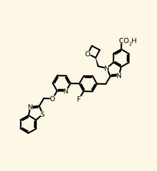 O=C(O)c1ccc2nc(Cc3ccc(-c4cccc(OCc5nc6ccccc6s5)n4)c(F)c3)n(C[C@@H]3CCO3)c2c1